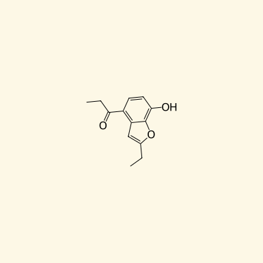 CCC(=O)c1ccc(O)c2oc(CC)cc12